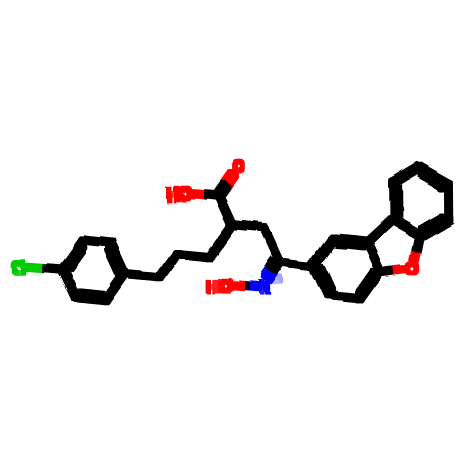 O=C(O)C(CCCc1ccc(Cl)cc1)C/C(=N\O)c1ccc2oc3ccccc3c2c1